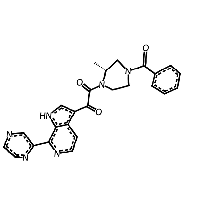 C[C@@H]1CN(C(=O)c2ccccc2)CCN1C(=O)C(=O)c1c[nH]c2c(-c3cnccn3)nccc12